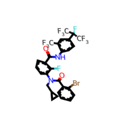 O=C(Nc1ccc(C(F)(C(F)(F)F)C(F)(F)F)cc1C(F)(F)F)c1cccc(N(CC2CC2)C(=O)c2ccccc2Br)c1F